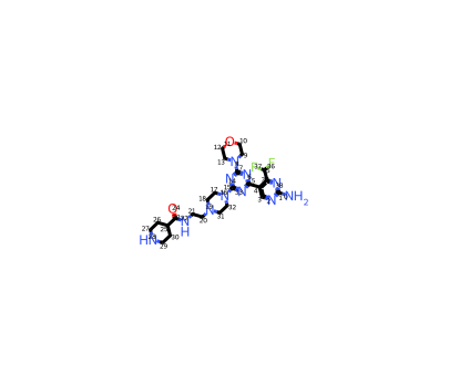 Nc1ncc(-c2nc(N3CCOCC3)nc(N3CCN(CCNC(=O)C4CCNCC4)CC3)n2)c(C(F)F)n1